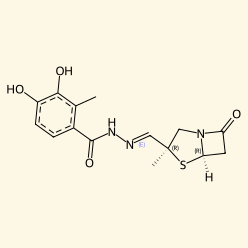 Cc1c(C(=O)N/N=C/[C@@]2(C)CN3C(=O)C[C@H]3S2)ccc(O)c1O